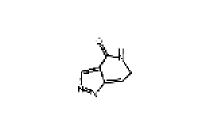 O=C1NCC=C2N=NC=C12